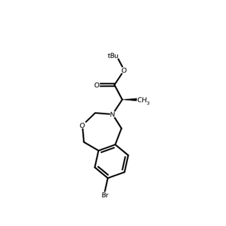 C[C@H](C(=O)OC(C)(C)C)N1COCc2cc(Br)ccc2C1